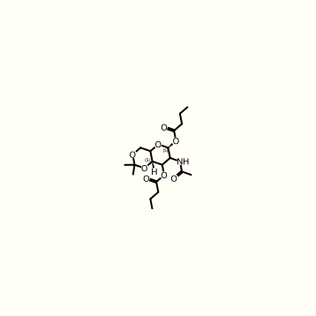 CCCC(=O)OC1C(NC(C)=O)[C@H](OC(=O)CCC)OC2COC(C)(C)O[C@H]21